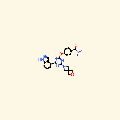 CN(C)C(=O)c1ccc(Oc2nc(-c3cccc4[nH]ncc34)nc(N3CC4(COC4)C3)n2)cc1